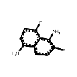 Nc1ccc(F)c2c(N)c(F)ccc12